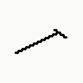 [CH2]CCCCC(CC)CCCCCCCCCCCCCCCCCCCCCC